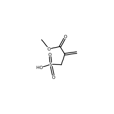 C=C(CS(=O)(=O)O)C(=O)OC